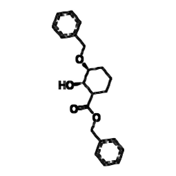 O=C(OCc1ccccc1)C1CCC[C@H](OCc2ccccc2)[C@@H]1O